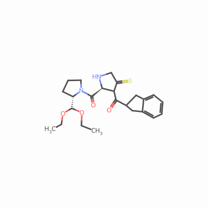 CCOC(OCC)[C@@H]1CCCN1C(=O)[C@H]1NCC(=S)C1C(=O)C1Cc2ccccc2C1